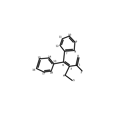 C=C(C)C(CC)=C(c1ccccc1)c1ccccc1